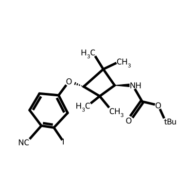 CC(C)(C)OC(=O)N[C@H]1C(C)(C)[C@H](Oc2ccc(C#N)c(I)c2)C1(C)C